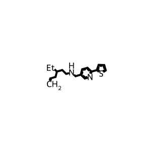 C=CCC(CC)CCNCc1ccc(-c2cccs2)nc1